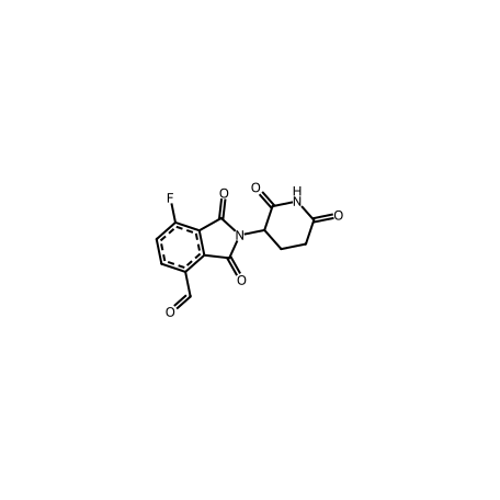 O=Cc1ccc(F)c2c1C(=O)N(C1CCC(=O)NC1=O)C2=O